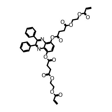 C=CC(=O)OCCOC(=O)CCC(=O)Oc1ccc(OC(=O)CCC(=O)OCCOC(=O)C=C)c2nc(-c3ccccc3)c(-c3ccccc3)nc12